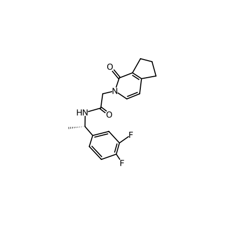 C[C@H](NC(=O)Cn1ccc2c(c1=O)CCC2)c1ccc(F)c(F)c1